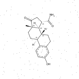 C[C@]12CC[C@@H]3c4ccc(O)cc4CC[C@H]3[C@@H]1[C@@H](C(N)=O)CC2=O